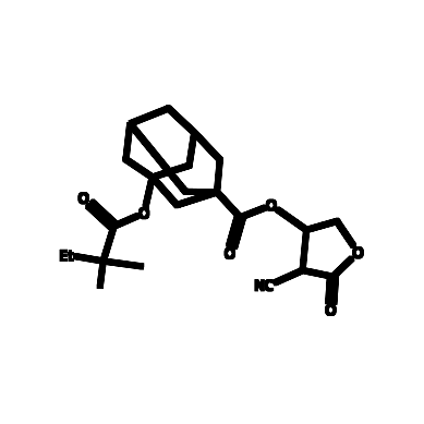 CCC(C)(C)C(=O)OC12CC3CC(C1)CC(C(=O)OC1COC(=O)C1C#N)(C3)C2